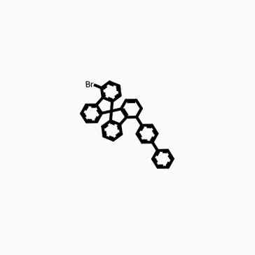 Brc1cccc2c1-c1ccccc1C21C2=C(c3ccccc31)C(c1ccc(-c3ccccc3)cc1)CC=C2